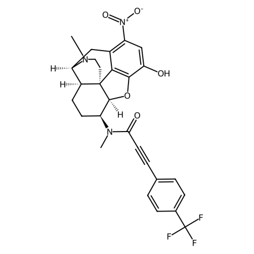 CN1CC[C@]23c4c5c([N+](=O)[O-])cc(O)c4O[C@H]2[C@@H](N(C)C(=O)C#Cc2ccc(C(F)(F)F)cc2)CC[C@H]3[C@H]1C5